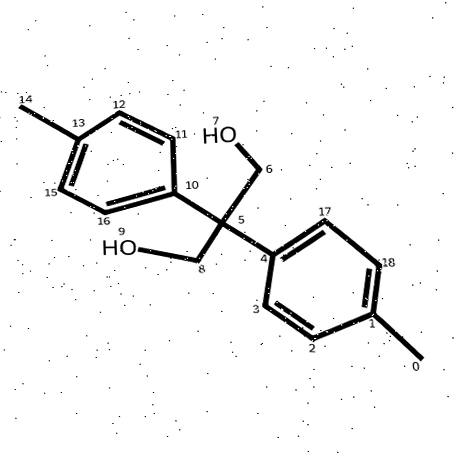 Cc1ccc(C(CO)(CO)c2ccc(C)cc2)cc1